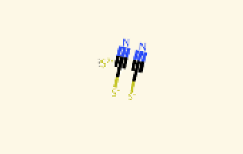 N#C[S-].N#C[S-].[S+2]